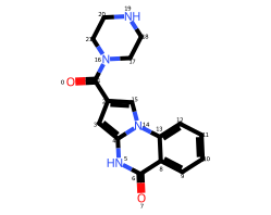 O=C(c1cc2[nH]c(=O)c3ccccc3n2c1)N1CCNCC1